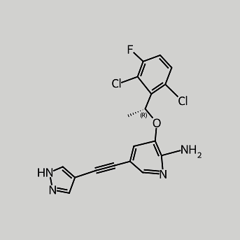 C[C@@H](Oc1cc(C#Cc2cn[nH]c2)cnc1N)c1c(Cl)ccc(F)c1Cl